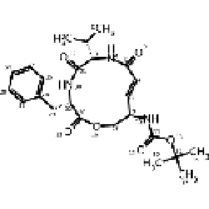 CC(C)[C@@H]1NC(=O)/C=C/[C@@H](NC(=O)OC(C)(C)C)COC(=O)[C@H](Cc2ccccc2)NC1=O